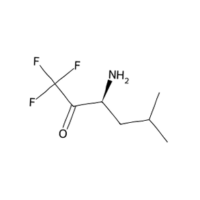 CC(C)C[C@H](N)C(=O)C(F)(F)F